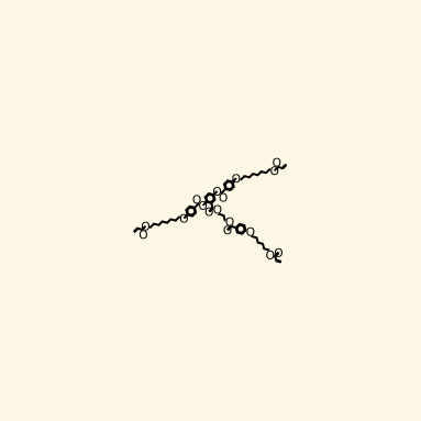 C=CC(=O)OCCCCCCCCOc1ccc(C(=O)Oc2ccc(OC(=O)c3ccc(OCCCCCCCCOC(=O)C=C)cc3)c(C(=O)OCCCOC(=O)c3ccc(OCCCCCCOC(=O)C=C)cc3)c2)cc1